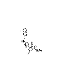 CNC(=O)c1cc(Br)cc(-c2ccc(NCC[C@H](F)Cc3ncccc3F)nn2)c1O